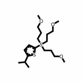 COCCCS(CCCOC)(CCCOC)c1ccc(C(C)C)s1